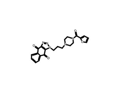 O=C1c2ccccc2C(=O)c2c1nnn2CCCN1CCN(C(=O)c2ccco2)CC1